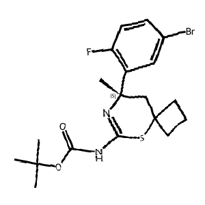 CC(C)(C)OC(=O)NC1=N[C@](C)(c2cc(Br)ccc2F)CC2(CCC2)S1